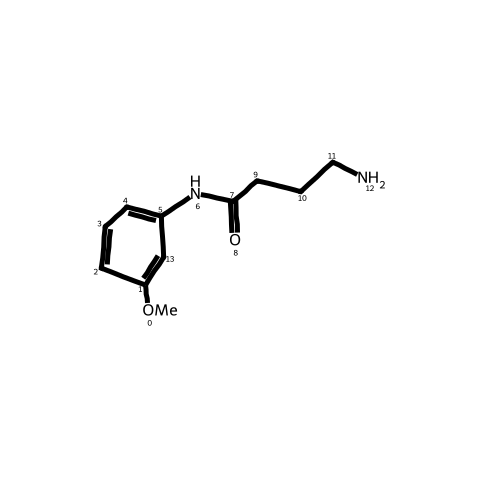 COc1cccc(NC(=O)CCCN)c1